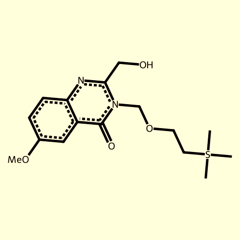 COc1ccc2nc(CO)n(COCCS(C)(C)C)c(=O)c2c1